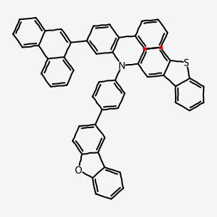 c1ccc(-c2ccc(-c3cc4ccccc4c4ccccc34)cc2N(c2ccc(-c3ccc4oc5ccccc5c4c3)cc2)c2ccc3sc4ccccc4c3c2)cc1